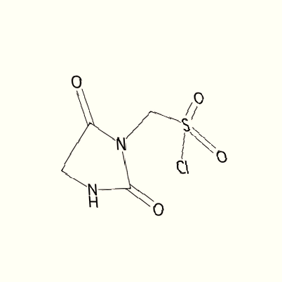 O=C1CNC(=O)N1CS(=O)(=O)Cl